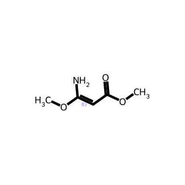 COC(=O)/C=C(\N)OC